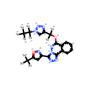 [2H]C([2H])([2H])c1cc(-c2nnc3c4ccccc4c(OC([2H])([2H])c4cn(C([2H])([2H])C([2H])([2H])[2H])nn4)nn23)no1